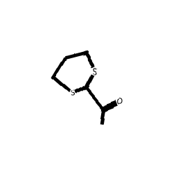 CC(=O)C1SCCCS1